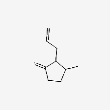 C=CCC1C(=O)C[CH]C1C